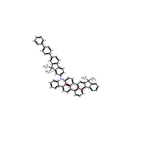 CC1(C)c2ccccc2-c2ccc(-c3ccc(N(c4ccc5c(c4)C(C)(C)c4cc(-c6ccc(-c7ccccc7)cc6)ccc4-5)c4ccccc4-c4ccc(-c5ccccc5)cc4)cc3)cc21